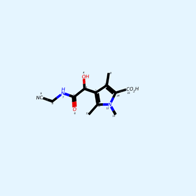 Cc1c(C(O)C(=O)NCC#N)c(C)n(C)c1C(=O)O